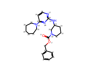 O=C(OCc1ccccc1)N1CCCC(Nc2nccc(N3CCCCCC3)n2)C1